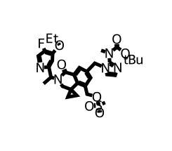 CCOc1cc(C(C)N2CC3(CC3)c3c(COS(C)(=O)=O)cc(Cn4ccnc4N(C)C(=O)OC(C)(C)C)cc3C2=O)ncc1F